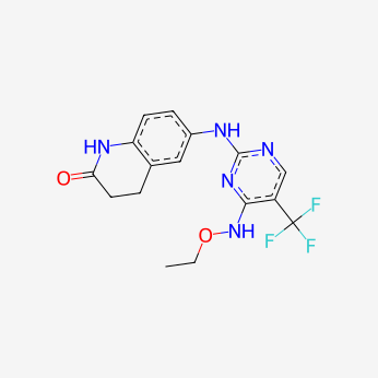 CCONc1nc(Nc2ccc3c(c2)CCC(=O)N3)ncc1C(F)(F)F